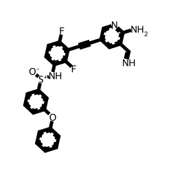 N=Cc1cc(C#Cc2c(F)ccc(N[S+]([O-])c3cccc(Oc4ccccc4)c3)c2F)cnc1N